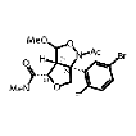 CNC(=O)[C@H]1OC[C@@]2(c3cc(Br)ccc3F)[C@H]1C(OC)ON2C(C)=O